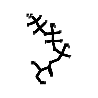 CC(C)C(CC(C)(C)C)C(=O)OCC(F)(OC(F)(F)C(F)(OC(F)(F)C(F)(F)C(F)(F)F)C(F)(F)F)C(F)(F)F